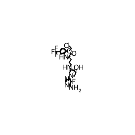 CCOC(=O)[C@@H](CCCN[C@H]1CN(c2ncnc(N)c2F)CC[C@@H]1O)Nc1cc(Cl)cc(C(F)(F)F)c1